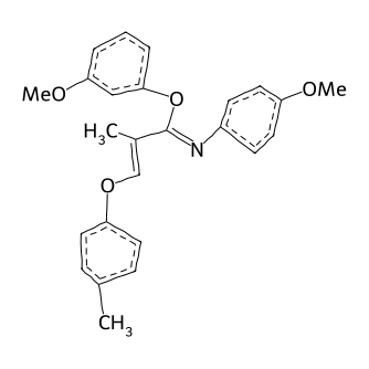 COc1ccc(N=C(Oc2cccc(OC)c2)C(C)=COc2ccc(C)cc2)cc1